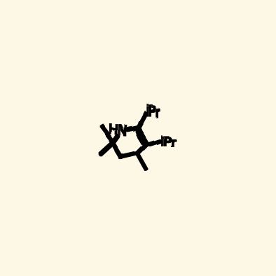 CC(C)C1=C(C(C)C)C(C)CC(C)(C)N1